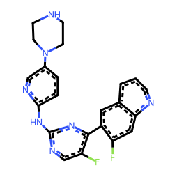 Fc1cc2ncccc2cc1-c1nc(Nc2ccc(N3CCNCC3)cn2)ncc1F